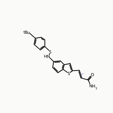 CC(C)(C)c1ccc(SNc2ccc3sc(/C=C/C(N)=O)cc3c2)cc1